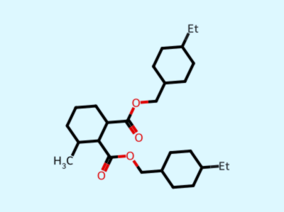 CCC1CCC(COC(=O)C2CCCC(C)C2C(=O)OCC2CCC(CC)CC2)CC1